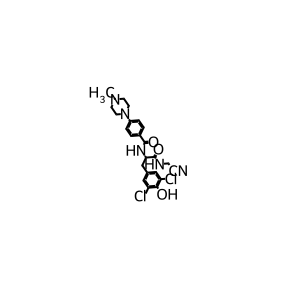 CN1CCN(c2ccc(C(=O)NC(Cc3cc(Cl)c(O)c(Cl)c3)C(=O)NCC#N)cc2)CC1